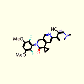 C=C(/C(C#N)=C\N(C)C)c1cc2c(cn1)CN(c1c(F)c(OC)cc(OC)c1F)C(=O)C21CC1